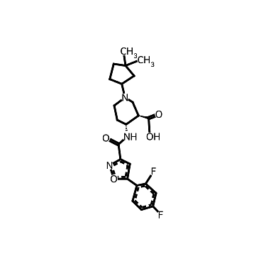 CC1(C)CCC(N2CC[C@@H](NC(=O)c3cc(-c4ccc(F)cc4F)on3)[C@H](C(=O)O)C2)C1